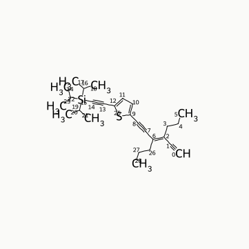 C#C/C(CCC)=C(/C#Cc1ccc(C#C[Si](C(C)C)(C(C)C)C(C)C)s1)CCC